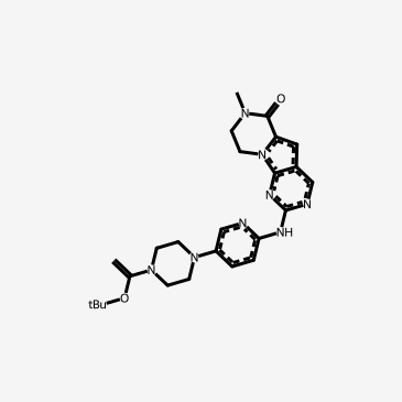 C=C(OC(C)(C)C)N1CCN(c2ccc(Nc3ncc4cc5n(c4n3)CCN(C)C5=O)nc2)CC1